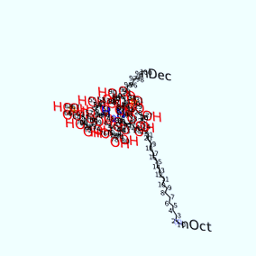 CCCCCCCC/C=C\CCCCCCCCCCCCCCCCCCCC(=O)OC[C@@H](O)COP(=O)(O)OC1[C@H](O[C@H]2OC(CO)[C@@H](O[C@H]3OC(CO[C@H]4OC(CO)[C@@H](O)C(O)[C@H]4O[C@H]4OC(COP(=O)(O)O)[C@H](O)[C@H](O)C4O)[C@@H](O)C(O)[C@H]3O)[C@H](O)C2N)C(O)C(O)[C@@H](O)[C@@H]1OC(=O)CCCCCCCCCCCCCCC